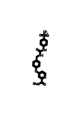 CNC(=O)c1cc(Oc2ccc(CNC(=O)Nc3ccc(S(=O)(=O)C(F)(F)F)cc3)cc2)ccn1